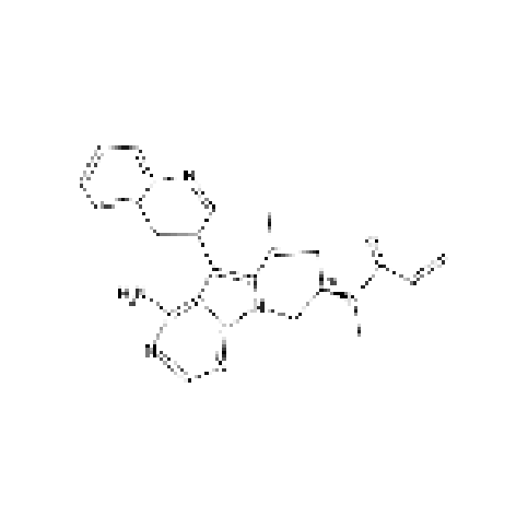 C=CC(=O)N(C)[C@@H]1C=C(C)c2c(-c3cnc4ccccc4c3)c3c(N)ncnc3n2C1